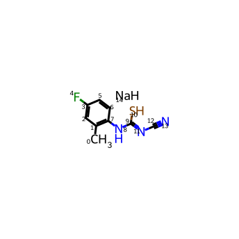 Cc1cc(F)ccc1NC(S)=NC#N.[NaH]